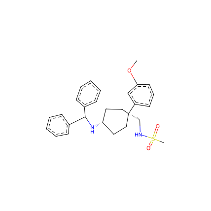 COc1cccc([C@]2(CNS(C)(=O)=O)CC[C@@H](NC(c3ccccc3)c3ccccc3)CC2)c1